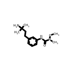 CON(C)C(=O)Nc1cccc(CCC(C)(C)N)c1